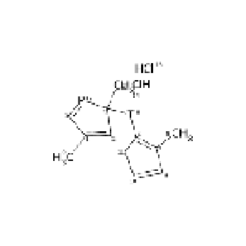 CC1=C[C](C)([Ti][C]2=C(C)C=CC2)P=C1.Cl.Cl